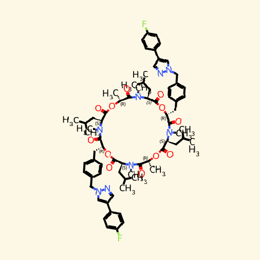 CC(C)C[C@H]1C(=O)O[C@H](Cc2ccc(Cn3cc(-c4ccc(F)cc4)cn3)cc2)C(=O)N(C)[C@@H](CC(C)C)C(=O)O[C@H](C)C(=O)N(C)[C@@H](CC(C)C)C(=O)O[C@H](Cc2ccc(Cn3cc(-c4ccc(F)cc4)cn3)cc2)C(=O)N(C)[C@@H](CC(C)C)C(=O)O[C@H](C)C(=O)N1C